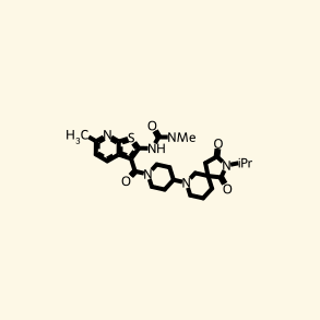 CNC(=O)Nc1sc2nc(C)ccc2c1C(=O)N1CCC(N2CCCC3(CC(=O)N(C(C)C)C3=O)C2)CC1